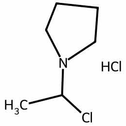 CC(Cl)N1CCCC1.Cl